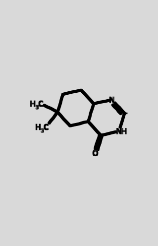 CC1(C)CCC2N=[C]NC(=O)C2C1